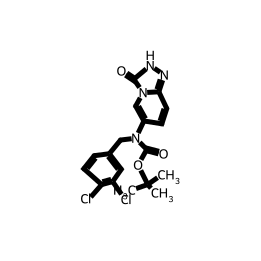 CC(C)(C)OC(=O)N(Cc1ccc(Cl)c(Cl)c1)c1ccc2n[nH]c(=O)n2c1